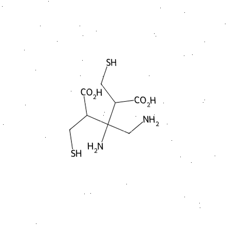 NCC(N)(C(CS)C(=O)O)C(CS)C(=O)O